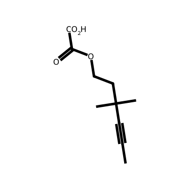 CC#CC(C)(C)CCOC(=O)C(=O)O